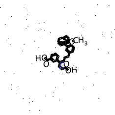 COc1ccc(CC/C=C(/C=C\C(=O)O)c2cccc(C(=O)O)c2)cc1C12CC3CC(CC(C3)C1)C2